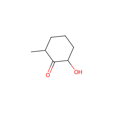 CC1CCCC(O)C1=O